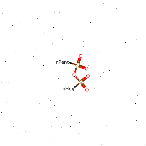 CCCCCCS(=O)(=O)OS(=O)(=O)CCCCC